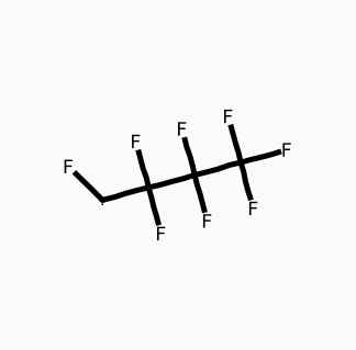 F[CH]C(F)(F)C(F)(F)C(F)(F)F